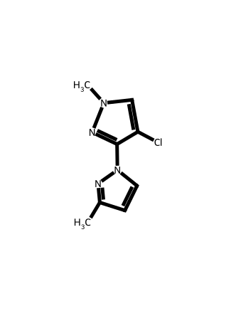 Cc1ccn(-c2nn(C)cc2Cl)n1